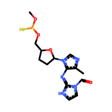 COP(S)OCC1CCC(n2cnc(C)c2/N=c2/[nH]ccn2C=O)O1